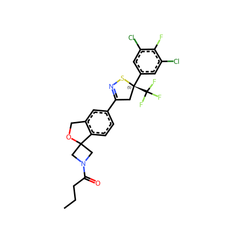 CCCC(=O)N1CC2(C1)OCc1cc(C3=NS[C@@](c4cc(Cl)c(F)c(Cl)c4)(C(F)(F)F)C3)ccc12